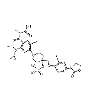 CCN(c1cc(N2CCC(COc3ccc(N4CCOC4=O)cc3F)(OP(=O)(O)O)CC2)c(F)cc1C(=O)C(C)C(=O)O)C1CC1